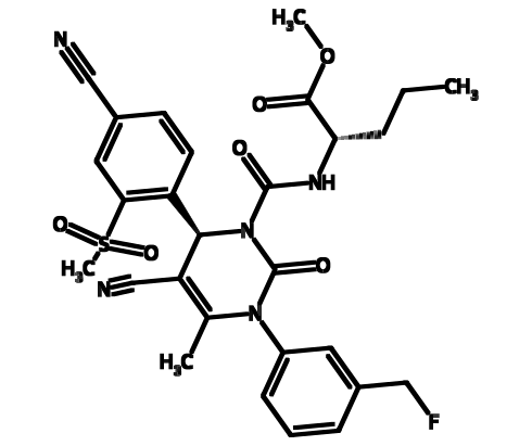 CCC[C@H](NC(=O)N1C(=O)N(c2cccc(CF)c2)C(C)=C(C#N)[C@H]1c1ccc(C#N)cc1S(C)(=O)=O)C(=O)OC